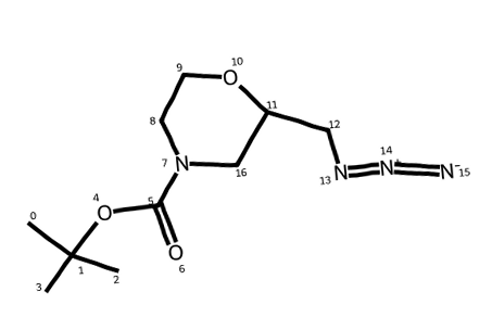 CC(C)(C)OC(=O)N1CCOC(CN=[N+]=[N-])C1